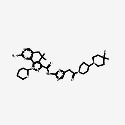 CC1(C)Cc2cnc(N)nc2-c2c1c(C(=O)Nc1nc(CC(=O)N3CCC(N4CCC(F)(F)CC4)CC3)cs1)nn2C1CCCCO1